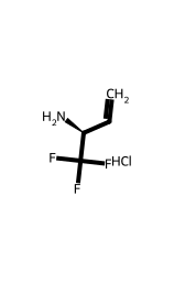 C=C[C@H](N)C(F)(F)F.Cl